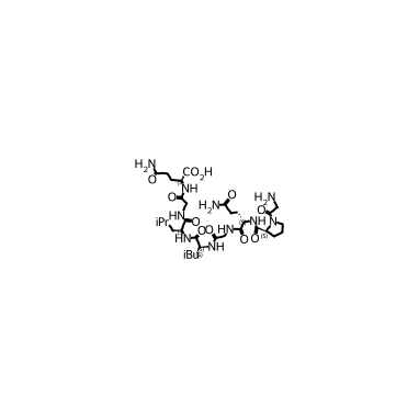 CC[C@H](C)[C@H](NC(=O)CNC(=O)[C@H](CCC(N)=O)NC(=O)[C@@H]1CCCN1C(=O)CN)C(=O)N[C@@H](CC(C)C)C(=O)NCC(=O)N[C@@H](CCC(N)=O)C(=O)O